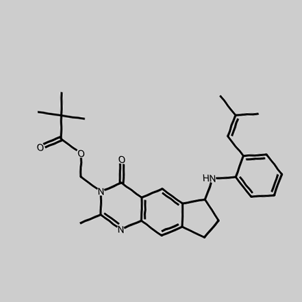 CC(C)=Cc1ccccc1NC1CCc2cc3nc(C)n(COC(=O)C(C)(C)C)c(=O)c3cc21